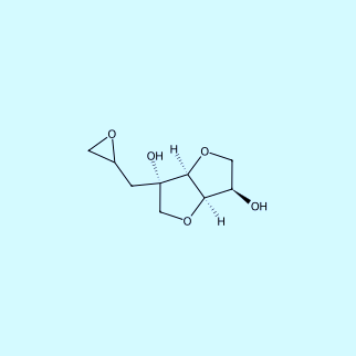 O[C@@H]1CO[C@H]2[C@@H]1OC[C@@]2(O)CC1CO1